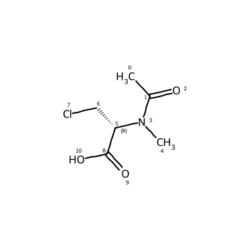 CC(=O)N(C)[C@@H](CCl)C(=O)O